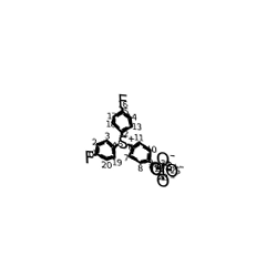 Fc1ccc([S+](c2ccccc2)c2ccc(F)cc2)cc1.[O-][Cl+3]([O-])([O-])[O-]